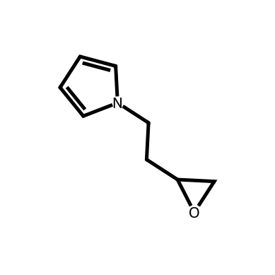 c1ccn(CCC2CO2)c1